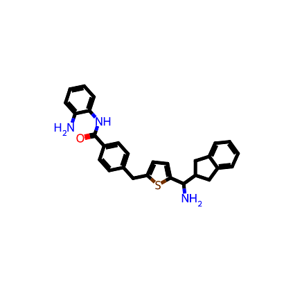 Nc1ccccc1NC(=O)c1ccc(Cc2ccc(C(N)C3Cc4ccccc4C3)s2)cc1